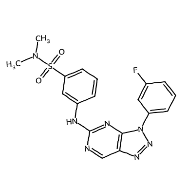 CN(C)S(=O)(=O)c1cccc(Nc2ncc3nnn(-c4cccc(F)c4)c3n2)c1